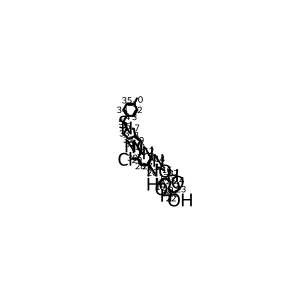 Cc1ccc(SN2Cc3cn(-c4nc5nc(OC6CO[C@@H]7C(O)CO[C@H]67)[nH]c5cc4Cl)nc3C2)cc1